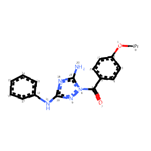 CC(C)Oc1ccc(C(=O)n2nc(Nc3ccccc3)nc2N)cc1